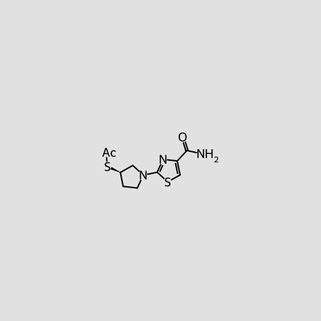 CC(=O)S[C@@H]1CCN(c2nc(C(N)=O)cs2)C1